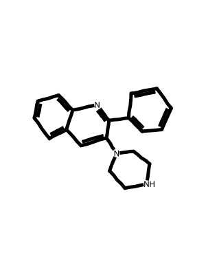 c1ccc(-c2nc3ccccc3cc2N2CCNCC2)cc1